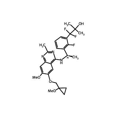 COc1cc2nc(C)nc(N[C@H](C)c3cccc(C(F)(F)C(C)(C)O)c3F)c2cc1OCC1(OC)CC1